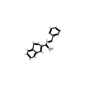 N=C(/N=C/c1ccccc1)c1ccc2ccccc2c1